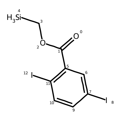 O=C(OC[SiH3])c1cc(I)ccc1I